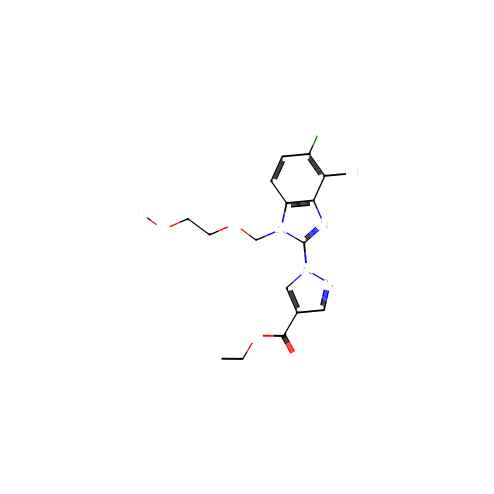 CCOC(=O)c1cnn(-c2nc3c(C)c(F)ccc3n2COCCOC)c1